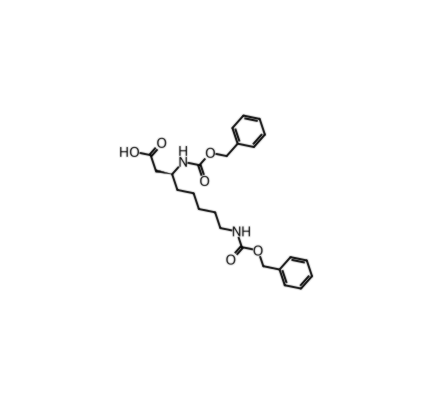 O=C(O)C[C@H](CCCCCNC(=O)OCc1ccccc1)NC(=O)OCc1ccccc1